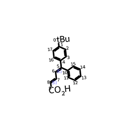 CC(C)(C)c1ccc(/C(=C/C=C/C(=O)O)c2ccccc2)cc1